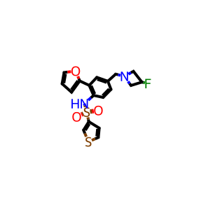 O=S(=O)(Nc1ccc(CN2CC(F)C2)cc1-c1ccco1)c1ccsc1